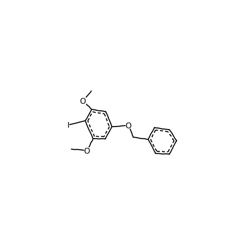 COc1cc(OCc2ccccc2)cc(OC)c1I